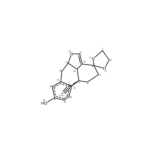 [C-]#[N+]C12CCC3(OCCO3)C3=COC(Cc4cc(O)ccc41)C32